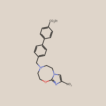 CCOC(=O)c1ccc(-c2ccc(CN3CCOc4nc([N+](=O)[O-])cn4CC3)cc2)cc1